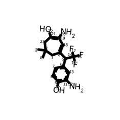 CC1(C)CC(C(c2ccc(O)c(N)c2)C(F)(F)F)=CC(N)=C(O)C1